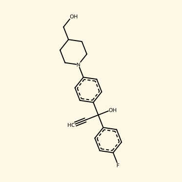 C#CC(O)(c1ccc(F)cc1)c1ccc(N2CCC(CO)CC2)cc1